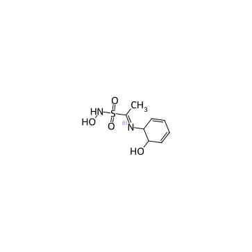 C/C(=N\C1C=CC=CC1O)S(=O)(=O)NO